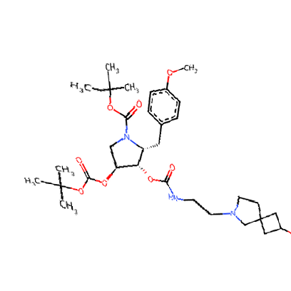 COc1ccc(C[C@@H]2[C@H](OC(=O)NCCN3CCC4(CC(O)C4)C3)[C@@H](OC(=O)OC(C)(C)C)CN2C(=O)OC(C)(C)C)cc1